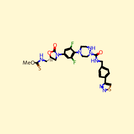 COC(=S)NC[C@H]1CN(c2cc(F)c(N3CCNN(C(=O)NCc4ccc(-c5csnn5)cc4)CC3)c(F)c2)C(=O)O1